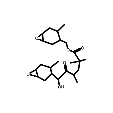 CC(CC(C)(C)C(=O)OCC1CC2OC2CC1C)C(=O)C(O)C1CC2OC2CC1C